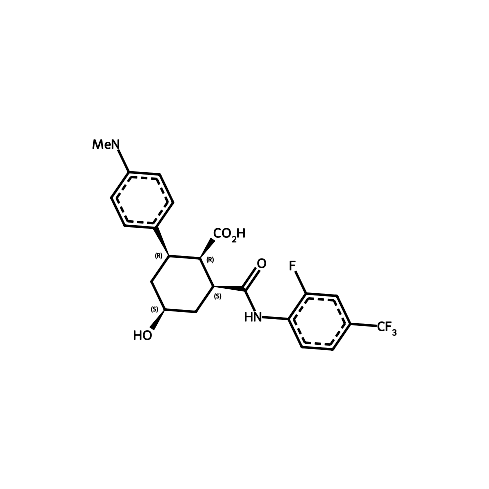 CNc1ccc([C@@H]2C[C@H](O)C[C@H](C(=O)Nc3ccc(C(F)(F)F)cc3F)[C@@H]2C(=O)O)cc1